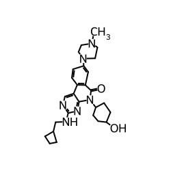 CN1CCN(c2ccc3c(c2)c(=O)n(C2CCC(O)CC2)c2nc(NCC4CCC4)ncc32)CC1